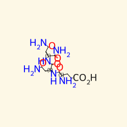 NC(=O)C[C@H](NC(=O)[C@H](CC(N)=O)NC(=O)[C@@H](N)CCC(=O)O)C(N)=O